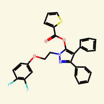 O=C(Oc1c(-c2ccccc2)c(-c2ccccc2)nn1CCOc1ccc(F)c(F)c1)c1cccs1